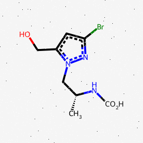 C[C@H](Cn1nc(Br)cc1CO)NC(=O)O